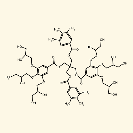 CCC(O)COc1c(OCC(O)CO)cc(C(=O)OCC(COC(=O)c2cc(C)c(C)c(C)c2)(COC(=O)c2cc(C)c(C)c(C)c2)COC(=O)c2cc(OCC(O)CO)c(OCC(O)CO)c(OCC(O)CO)c2)cc1OCC(O)CO